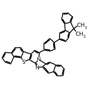 CC1(C)c2ccccc2-c2cc(-c3ccc(-c4cc5c6ccc7ccccc7c6sc5c5nc6cc7ccccc7cc6n45)cc3)ccc21